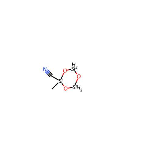 C[Si]1(C#N)O[SiH2]O[SiH2]O1